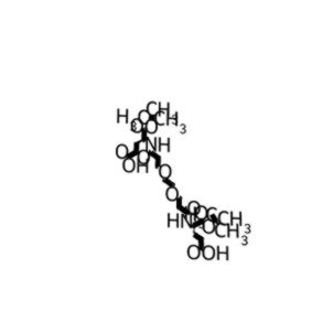 CC(C)(C)OC(=O)[C@H](CCC(=O)O)NC(=O)CCOCCOCCC(=O)N[C@@H](CCC(=O)O)C(=O)OC(C)(C)C